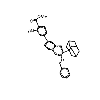 COC(=O)c1ccc(-c2ccc3cc(OCc4ccccc4)c(C45CC6CC(CC(C6)C4)C5)cc3c2)cc1O